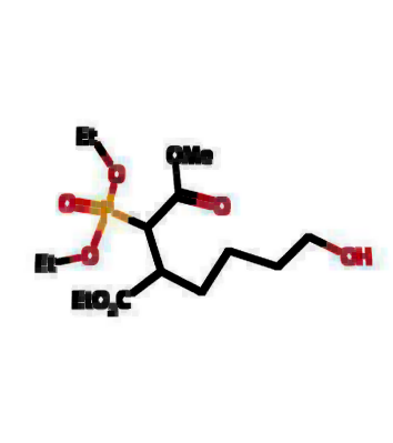 CCOC(=O)C(CCCCO)C(C(=O)OC)P(=O)(OCC)OCC